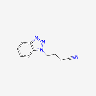 N#CCCCn1nnc2ccccc21